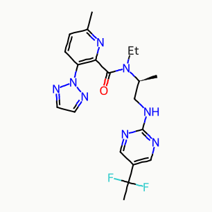 CCN(C(=O)c1nc(C)ccc1-n1nccn1)[C@@H](C)CNc1ncc(C(C)(F)F)cn1